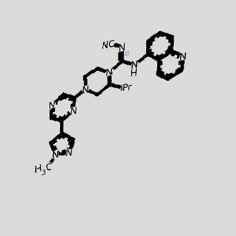 CC(C)C1CN(c2cncc(-c3cnn(C)c3)n2)CCN1/C(=N\C#N)Nc1cccc2ncccc12